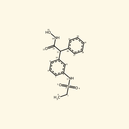 CCS(=O)(=O)Nc1cccc(C(C(=O)NO)c2ccccc2)c1